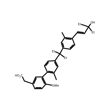 CCC(O)(/C=C/c1ccc(C(CC)(CC)c2ccc(-c3cc(CC(=O)O)ccc3OC)c(C)c2)cc1C)CC